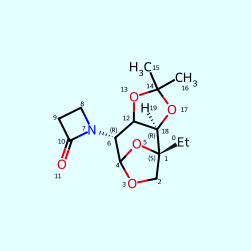 CC[C@@]12COC(O1)[C@H](N1CCC1=O)C1OC(C)(C)O[C@H]12